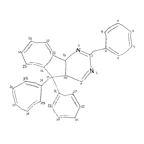 C1=NC(c2ccccc2)=NC2c3ccccc3C(c3ccccc3)(c3ccccc3)C12